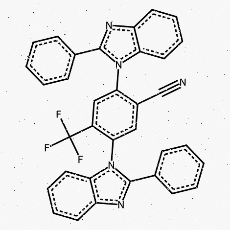 N#Cc1cc(-n2c(-c3ccccc3)nc3ccccc32)c(C(F)(F)F)cc1-n1c(-c2ccccc2)nc2ccccc21